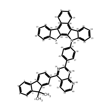 CC1(C)c2ccccc2-c2ccc(-c3nc(-c4ccc(-n5c6ccccc6c6c7ccccc7c7c8ccccc8sc7c65)cc4)nc4ncccc34)cc21